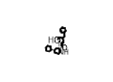 O=C(/N=C/C(CO)Cc1ccccc1)[C@H]1C[C@@H](C2CCCCC2)CCN1